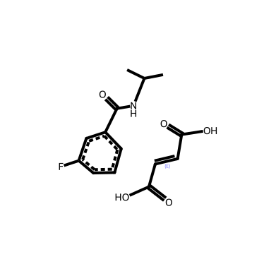 CC(C)NC(=O)c1cccc(F)c1.O=C(O)/C=C/C(=O)O